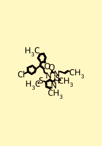 C/C=C/CNC(=O)N(Cc1oc2ccc(C)cc2c1-c1ccc(Cl)cc1)c1c(SC)cc(C)nc1SC